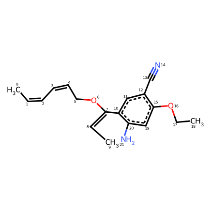 C/C=C\C=C/CO/C(=C/C)c1cc(C#N)c(OCC)cc1N